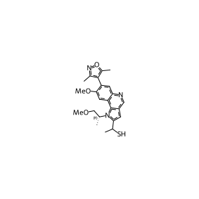 COC[C@@H](C)n1c(C(C)S)cc2cnc3cc(-c4c(C)noc4C)c(OC)cc3c21